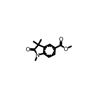 COC(=O)c1ccc2c(c1)C(C)(C)C(=O)N2C